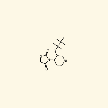 CC(C)(C)[Si](C)(C)OC1CNCCC1N1C(=O)COC1=O